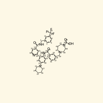 O=C(NCc1cccc(C(F)(F)F)c1)c1ccnc(-c2cc(N3CCCCC3)ccc2NC(=O)c2cccc(CN3CCCN(C(=O)O)CC3)c2)c1